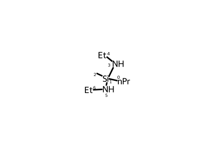 CCC[Si](C)(NCC)NCC